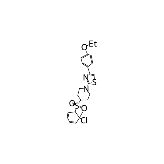 CCOc1ccc(-c2csc(N3CCC(S(=O)(=O)C4C=CC=CC4(C)Cl)CC3)n2)cc1